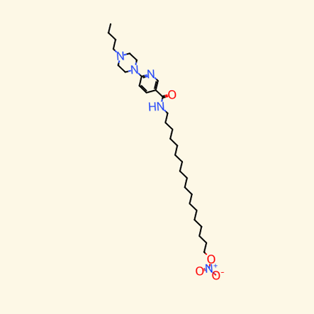 CCCCN1CCN(c2ccc(C(=O)NCCCCCCCCCCCCCCCCCCO[N+](=O)[O-])cn2)CC1